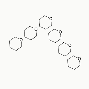 C1CCOCC1.C1CCOCC1.C1CCOCC1.C1CCOCC1.C1CCOCC1.C1CCOCC1